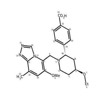 CCO[C@H]1CCN(Cc2c(OC)cc(C)c3nncn23)[C@H](c2ccc(C(=O)O)cc2)C1